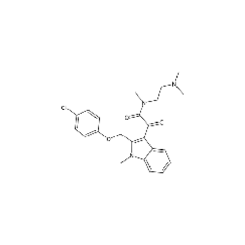 CN(C)CCN(C)C(=O)C(=O)c1c(COc2ccc(Cl)cc2)n(C)c2ccccc12